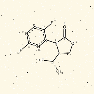 C[C@H](F)[C@H]1COC(=O)N1c1nc(F)ncc1F